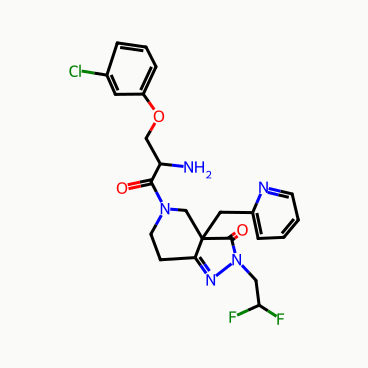 NC(COc1cccc(Cl)c1)C(=O)N1CCC2=NN(CC(F)F)C(=O)C2(Cc2ccccn2)C1